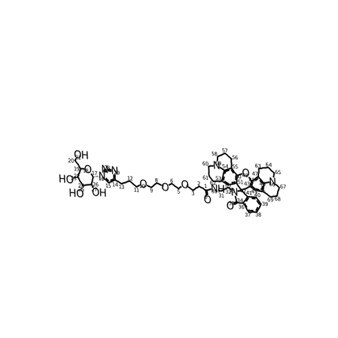 O=C(CCOCCOCCOCCCc1cn([C@H]2OC(CO)[C@H](O)[C@@H](O)C2O)nn1)NCCN1C(=O)c2ccccc2C12c1cc3c4c(c1Oc1c2cc2c5c1CCCN5CCC2)CCCN4CCC3